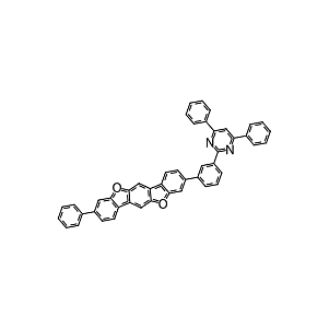 c1ccc(-c2ccc3c(c2)oc2cc4c(cc23)oc2cc(-c3cccc(-c5nc(-c6ccccc6)cc(-c6ccccc6)n5)c3)ccc24)cc1